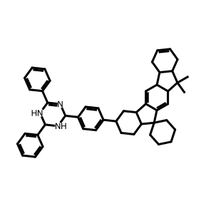 CC1(C)C2C=C3C(=CC2C2CC=CCC21)C1CC(c2ccc(C4N=C(c5ccccc5)NC(c5ccccc5)N4)cc2)CCC1C31CCCCC1